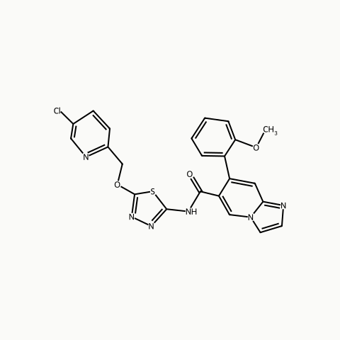 COc1ccccc1-c1cc2nccn2cc1C(=O)Nc1nnc(OCc2ccc(Cl)cn2)s1